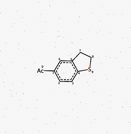 CC(=O)c1ccc2c(c1)CCS2